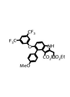 CCOC(=O)Cc1[nH]c2ccc(Oc3cc(C(F)(F)F)cc(C(F)(F)F)c3)c(-c3ccc(OC)cc3)c2c1C(=O)OCC